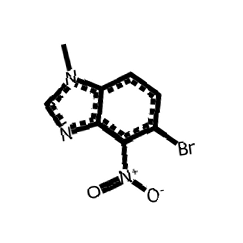 Cn1cnc2c([N+](=O)[O-])c(Br)ccc21